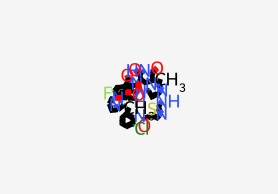 Cc1nc(Nc2ncc(C(=O)Nc3c(C)cccc3Cl)s2)cc(N2CCC(CN3CC4CC(C3)N4c3cc4c(cc3F)C(=O)N(C3CCC(=O)NC3=O)C4=O)CC2)n1